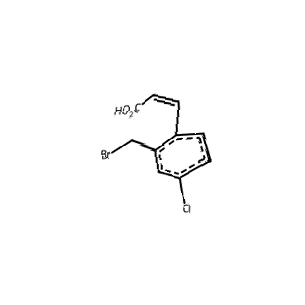 O=C(O)/C=C\c1ccc(Cl)cc1CBr